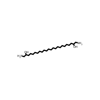 NCC(O)CCCCCCCCCCCCCCCCCCCCC(O)CN